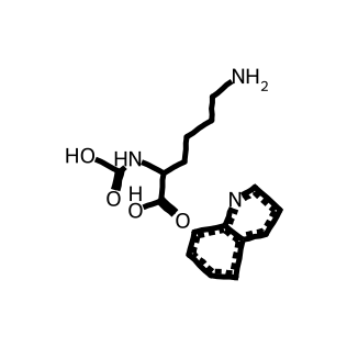 NCCCCC(NC(=O)O)C(=O)O.c1ccc2ncccc2c1